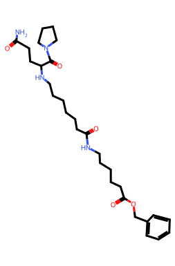 NC(=O)CCC(NCCCCCCC(=O)NCCCCCC(=O)OCc1ccccc1)C(=O)N1CCCC1